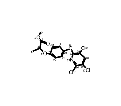 COC(=O)C(C)Oc1ccc(Oc2nc(Cl)c(Cl)cc2Cl)cc1